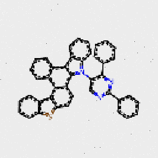 c1ccc(-c2ncc(-n3c4ccccc4c4c5ccccc5c5c(ccc6sc7ccccc7c65)c43)c(-c3ccccc3)n2)cc1